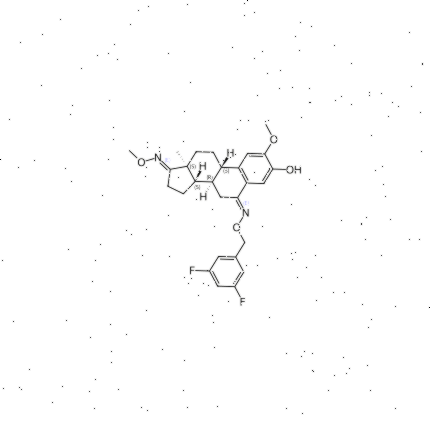 CO/N=C1\CC[C@H]2[C@@H]3C/C(=N\OCc4cc(F)cc(F)c4)c4cc(O)c(OC)cc4[C@H]3CC[C@]12C